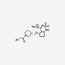 CC(C)CC(=O)N1CCC[C@H](COc2cccc3c2C(N)=NS(=O)(=O)N3)C1.[Na]